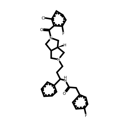 O=C(Cc1ccc(F)cc1)NC(CCN1CC2CN(C(=O)c3c(F)cccc3Cl)C[C@@H]2C1)c1ccccc1